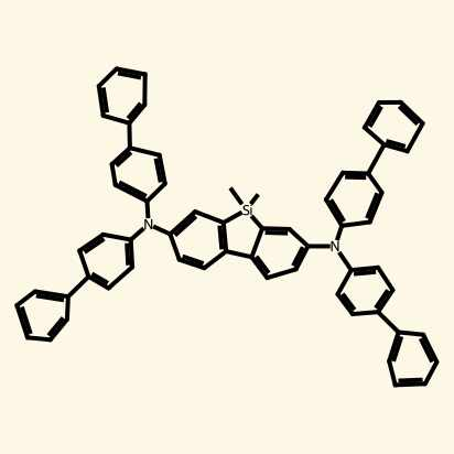 C[Si]1(C)c2cc(N(c3ccc(-c4ccccc4)cc3)c3ccc(-c4ccccc4)cc3)ccc2-c2ccc(N(c3ccc(-c4ccccc4)cc3)c3ccc(-c4ccccc4)cc3)cc21